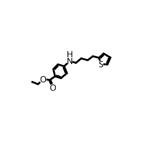 CCOC(=O)c1ccc(NCCCCc2cccs2)cc1